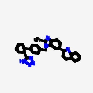 CCCc1nc2ccc(-c3ccc4ccccc4n3)cc2n1Cc1ccc(-c2ccccc2-c2nnn[nH]2)cc1